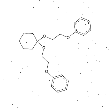 c1ccc(OCCOC2(OCCOc3ccccc3)CCCCC2)cc1